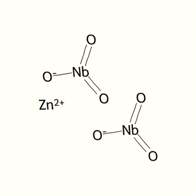 [O]=[Nb](=[O])[O-].[O]=[Nb](=[O])[O-].[Zn+2]